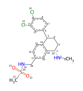 CN[C@H]1CCC(c2ccc(Cl)c(Cl)c2)c2ccc(CNS(C)(=O)=O)cc21